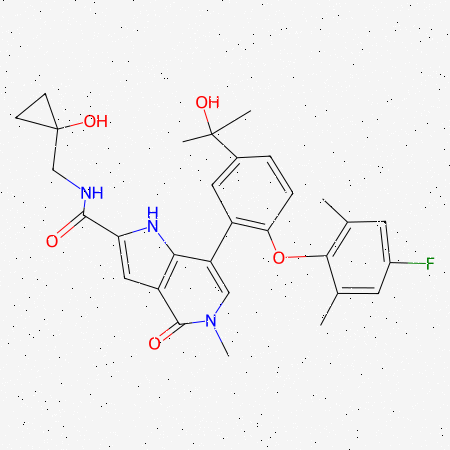 Cc1cc(F)cc(C)c1Oc1ccc(C(C)(C)O)cc1-c1cn(C)c(=O)c2cc(C(=O)NCC3(O)CC3)[nH]c12